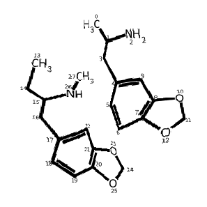 CC(N)Cc1ccc2c(c1)OCO2.CCC(Cc1ccc2c(c1)OCO2)NC